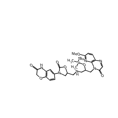 COc1ccc2ncc(=O)n(CC(CNCC3CN(c4ccc5c(c4)NC(=O)CO5)C(=O)O3)O[Si](C)(C)C(C)(C)C)c2n1